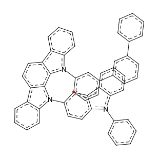 c1ccc(-c2cccc(-c3cccc(-n4c5ccccc5c5ccc6c7ccccc7n(-c7ccc8c(c7)c7ccccc7n8-c7ccccc7)c6c54)c3)c2)cc1